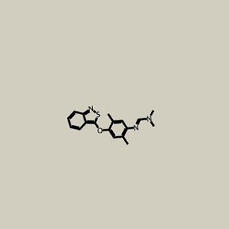 Cc1cc(Oc2snc3ccccc23)c(C)cc1N=CN(C)C